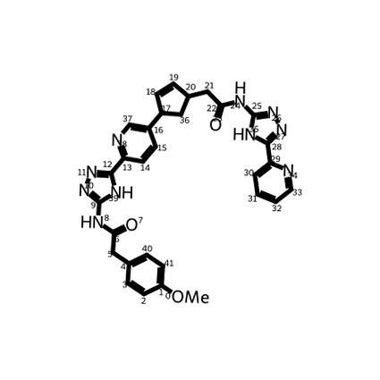 COc1ccc(CC(=O)Nc2nnc(-c3ccc(C4C=CC(CC(=O)Nc5nnc(-c6ccccn6)[nH]5)C4)cn3)[nH]2)cc1